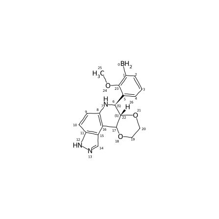 Bc1cccc([C@@H]2Nc3ccc4[nH]ncc4c3C3OCCO[C@H]32)c1OC